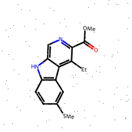 CCc1c(C(=O)OC)ncc2[nH]c3ccc(SC)cc3c12